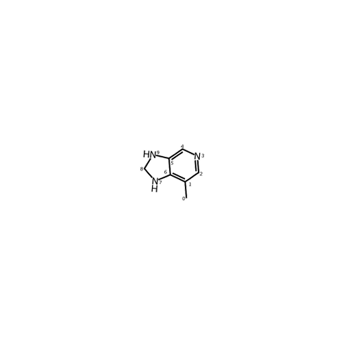 Cc1cncc2c1NCN2